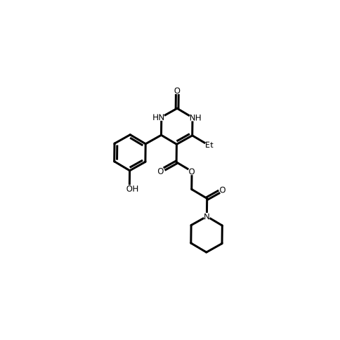 CCC1=C(C(=O)OCC(=O)N2CCCCC2)C(c2cccc(O)c2)NC(=O)N1